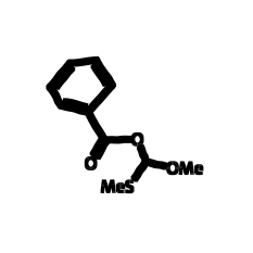 CO[C](OC(=O)c1ccccc1)SC